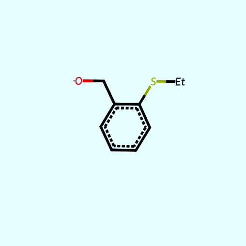 CCSc1ccccc1C[O]